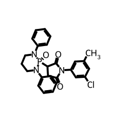 Cc1cc(Cl)cc(N2C(=O)CC(P3(=O)N(c4ccccc4)CCCN3c3ccccc3)C2=O)c1